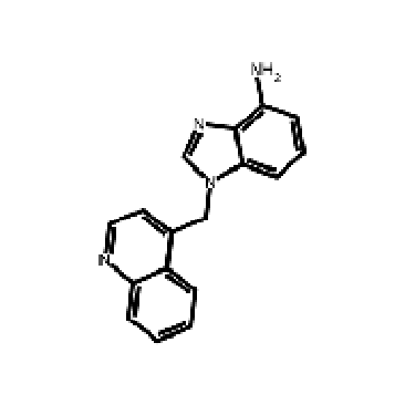 Nc1cccc2c1ncn2Cc1ccnc2ccccc12